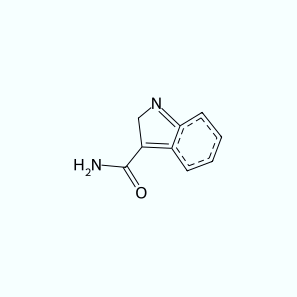 NC(=O)C1=c2ccccc2=NC1